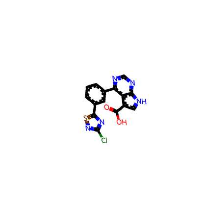 O=C(O)c1c[nH]c2ncnc(-c3cccc(-c4nc(Cl)ns4)c3)c12